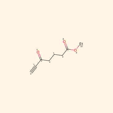 C#CC(=O)CCCC(=O)OCC